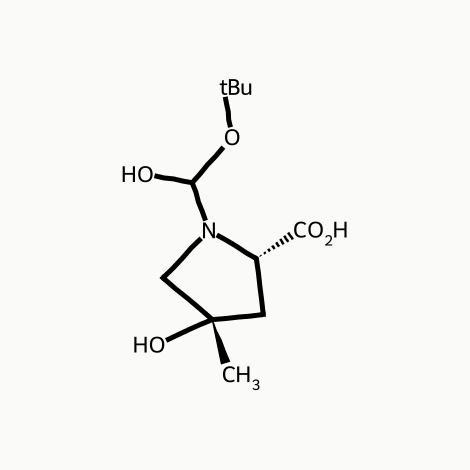 CC(C)(C)OC(O)N1C[C@@](C)(O)C[C@H]1C(=O)O